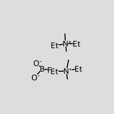 CC[N+](C)(C)CC.CC[N+](C)(C)CC.[O-]B([O-])F